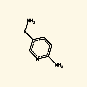 NSc1ccc(N)nc1